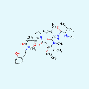 CCC(C)C([C@@H](CC(=O)N1CCC[C@H]1[C@H](OC)[C@@H](C)C(=O)NCCc1ccccc1O)OC)N(C)C(=O)[C@@H](NC(=O)C(NC)C(C)C)C(C)C